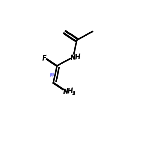 C=C(C)N/C(F)=C\N